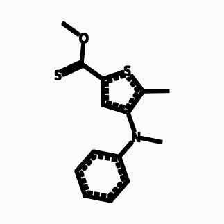 COC(=S)c1cc(N(C)c2ccccc2)c(C)s1